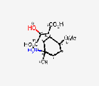 COC1CCC(N)(C#N)CC1.O=C(O)CC(O)C(=O)O